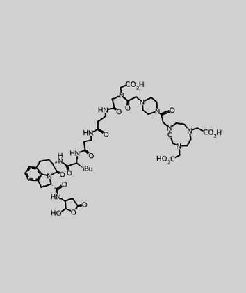 CC[C@H](C)[C@H](NC(=O)CCNC(=O)CCNC(=O)CN(CC(=O)O)C(=O)CN1CCN(C(=O)CN2CCN(CC(=O)O)CCN(CC(=O)O)CC2)CC1)C(=O)N[C@H]1CCc2cccc3c2N(C1=O)[C@H](C(=O)NC1CC(=O)OC1O)C3